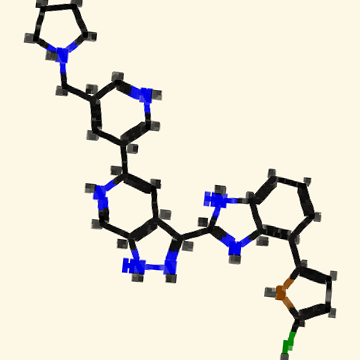 Fc1ccc(-c2cccc3[nH]c(-c4n[nH]c5cnc(-c6cncc(CN7CCCC7)c6)cc45)nc23)s1